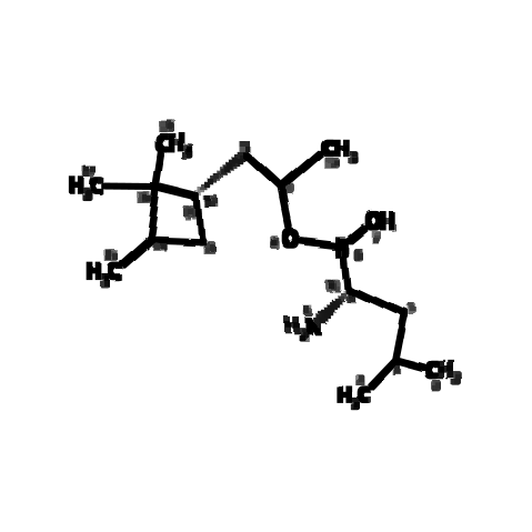 CC(C)C[C@H](N)B(O)OC(C)C[C@@H]1CC(C)C1(C)C